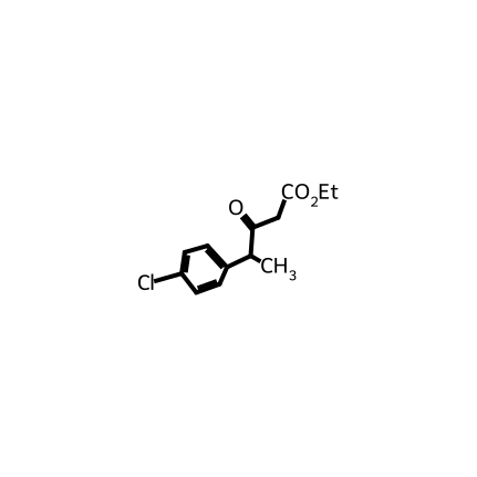 CCOC(=O)CC(=O)C(C)c1ccc(Cl)cc1